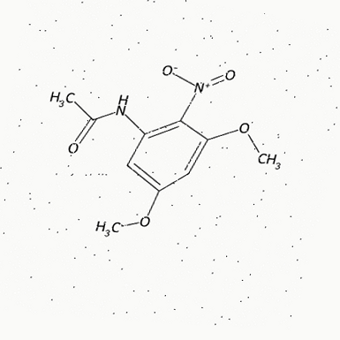 COc1cc(NC(C)=O)c([N+](=O)[O-])c(OC)c1